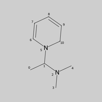 CC(N(C)C)N1C=CC=CC1